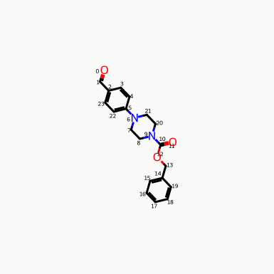 O=Cc1ccc(N2CCN(C(=O)OCc3ccccc3)CC2)cc1